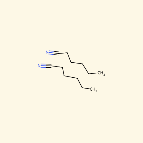 CCCCCC#N.CCCCCC#N